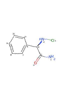 NC(=O)[C@H](NCl)c1ccccc1